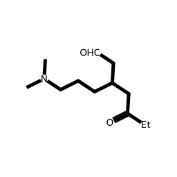 CCC(=O)CC(CC=O)CCCN(C)C